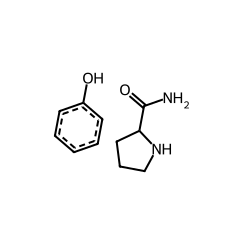 NC(=O)C1CCCN1.Oc1ccccc1